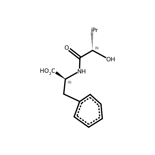 CC(C)[C@H](O)C(=O)N[C@@H](Cc1ccccc1)C(=O)O